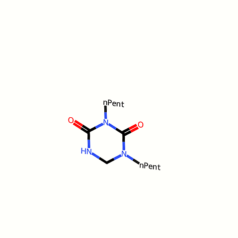 CCCCCN1CNC(=O)N(CCCCC)C1=O